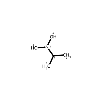 CC(C)N(O)O